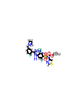 CC(C)(C)OC(=O)N(c1cscn1)S(=O)(=O)c1cc(Cl)c(N[C@@H](N)c2cc(CN3CCC3)ccc2F)cc1F